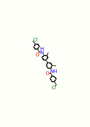 Cc1cc(-c2ccc(NC(=O)c3ccc(CCl)cc3)c(C)c2)ccc1NC(=O)c1ccc(CCl)cc1